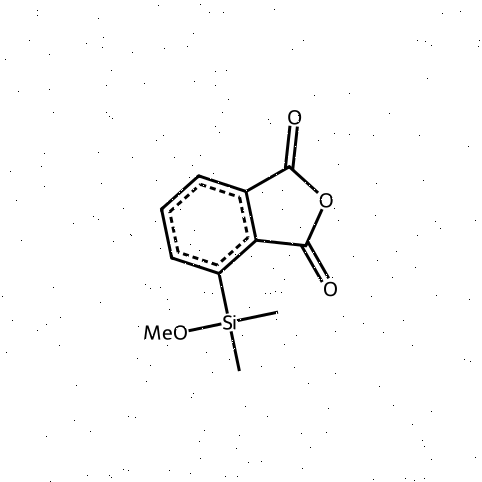 CO[Si](C)(C)c1cccc2c1C(=O)OC2=O